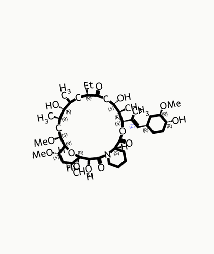 CC[C@@H]1CC(C)[C@@H](O)[C@H](C)C[C@H](OC)[C@H]2O[C@@](O)(C(O)C(=O)N3CCCC[C@H]3C(=O)O[C@H](/C(C)=C/[C@@H]3CC[C@@H](O)[C@H](OC)C3)[C@H](C)[C@@H](O)CC1=O)[C@H](C)C[C@@H]2OC